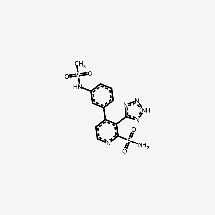 CS(=O)(=O)Nc1cccc(-c2ccnc(S(N)(=O)=O)c2-c2nn[nH]n2)c1